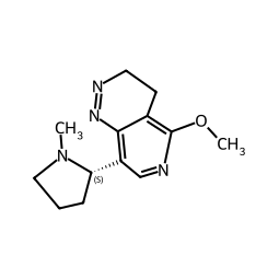 COc1ncc([C@@H]2CCCN2C)c2c1CCN=N2